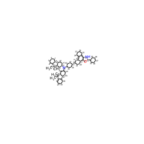 CC1(C)c2ccccc2-c2ccc(N(c3ccc(-c4ccc5c6c(c7ccccc7c5c4)NC(c4ccccc4)O6)cc3)c3ccc4c(c3)C(C)(C)c3ccccc3-4)cc21